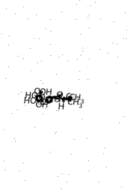 CC(C)(C)CCNC(=O)OCc1ccc(OC2O[C@H](C(=O)O)[C@@H](O)[C@H](O)[C@H]2O)cc1